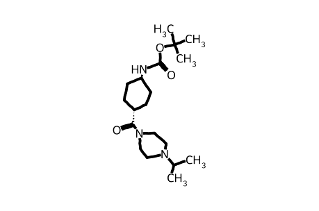 CC(C)N1CCN(C(=O)[C@H]2CC[C@@H](NC(=O)OC(C)(C)C)CC2)CC1